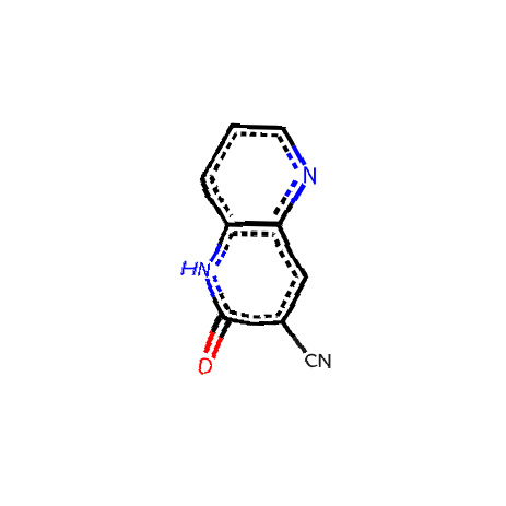 N#Cc1cc2ncccc2[nH]c1=O